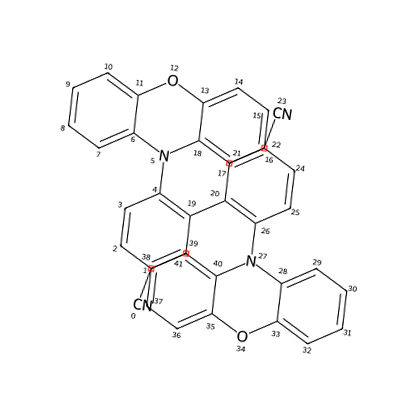 N#Cc1ccc(N2c3ccccc3Oc3ccccc32)c(-c2cc(C#N)ccc2N2c3ccccc3Oc3ccccc32)c1